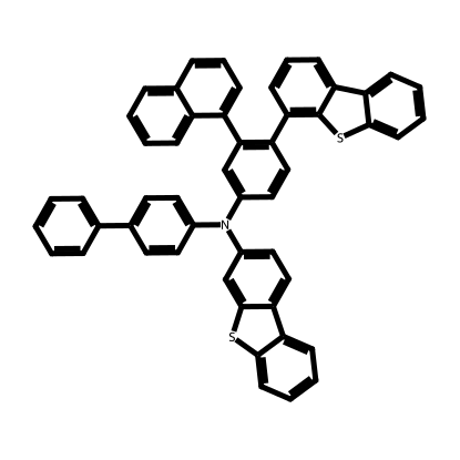 c1ccc(-c2ccc(N(c3ccc(-c4cccc5c4sc4ccccc45)c(-c4cccc5ccccc45)c3)c3ccc4c(c3)sc3ccccc34)cc2)cc1